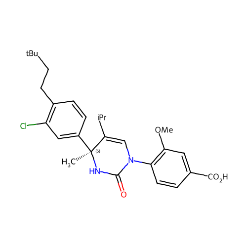 COc1cc(C(=O)O)ccc1N1C=C(C(C)C)[C@](C)(c2ccc(CCC(C)(C)C)c(Cl)c2)NC1=O